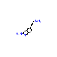 NCC#Cc1ccc2cnc(N)cc2c1